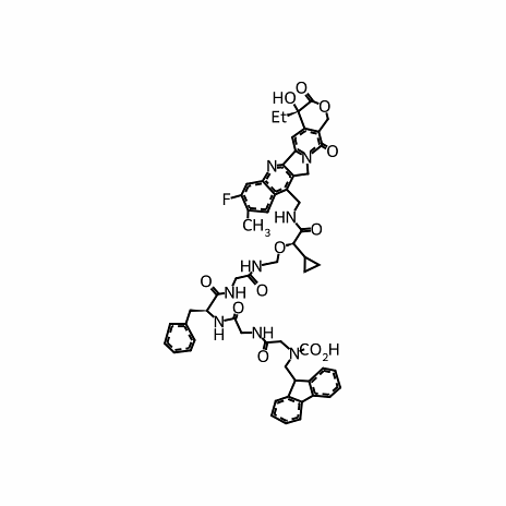 CC[C@@]1(O)C(=O)OCc2c1cc1n(c2=O)Cc2c-1nc1cc(F)c(C)cc1c2CNC(=O)[C@H](OCNC(=O)CNC(=O)[C@H](Cc1ccccc1)NC(=O)CNC(=O)CN(CC1c2ccccc2-c2ccccc21)C(=O)O)C1CC1